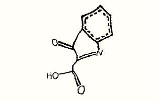 O=C(O)C1=Nc2ccccc2C1=O